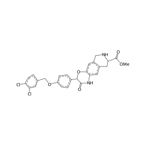 COC(=O)C1Cc2cc3c(cc2CN1)OC(c1ccc(OCc2ccc(Cl)c(Cl)c2)cc1)C(=O)N3